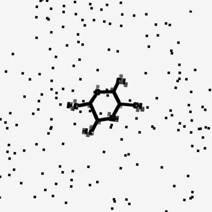 CC1NC(C)C(C)OC1C